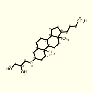 CC12CCC3C(CCC4CC(OCC(O)CO)CCC43C)C1CCC2CCCC(=O)O